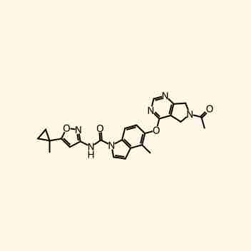 CC(=O)N1Cc2ncnc(Oc3ccc4c(ccn4C(=O)Nc4cc(C5(C)CC5)on4)c3C)c2C1